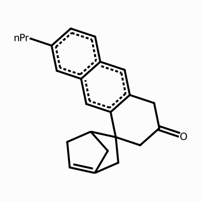 CCCc1ccc2cc3c(cc2c1)C1(CC(=O)C3)CC2=CCC1C2